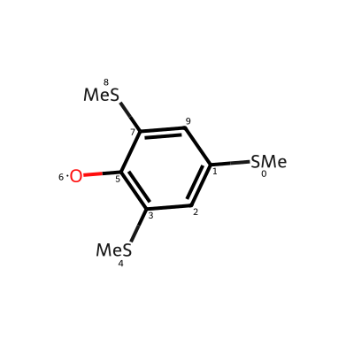 CSc1cc(SC)c([O])c(SC)c1